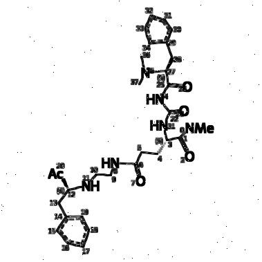 CNC(=O)[C@H](CCC(=O)NCCN[C@@H](Cc1ccccc1)C(C)=O)NC(=O)NC(=O)[C@H](Cc1ccccc1)N(C)C